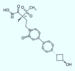 CS(=O)(=O)[C@](I)(CCn1ccc(-c2ccc([C@H]3C[C@H](O)C3)cc2)cc1=O)C(=O)NO